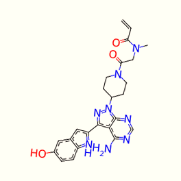 C=CC(=O)N(C)CC(=O)N1CCC(n2nc(-c3cc4cc(O)ccc4[nH]3)c3c(N)ncnc32)CC1